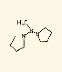 CB(N1CCCC1)N1CCCC1